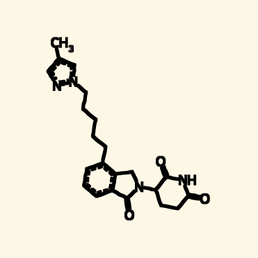 Cc1cnn(CCCCCc2cccc3c2CN(C2CCC(=O)NC2=O)C3=O)c1